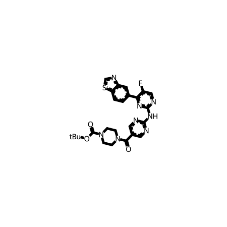 CC(C)(C)OC(=O)N1CCN(C(=O)c2cnc(Nc3ncc(F)c(-c4ccc5scnc5c4)n3)nc2)CC1